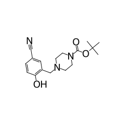 CC(C)(C)OC(=O)N1CCN(Cc2cc(C#N)ccc2O)CC1